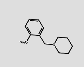 COc1ccccc1CN1CCCCC1